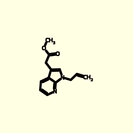 C=CCn1cc(CC(=O)OC)c2cccnc21